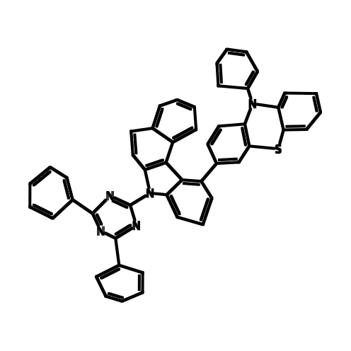 c1ccc(-c2nc(-c3ccccc3)nc(-n3c4cccc(-c5ccc6c(c5)Sc5ccccc5N6c5ccccc5)c4c4c5ccccc5ccc43)n2)cc1